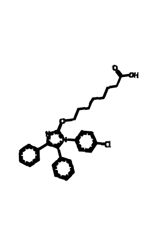 O=C(O)CCCCCCCOc1nc(-c2ccccc2)c(-c2ccccc2)n1-c1ccc(Cl)cc1